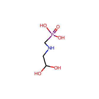 O=P(O)(O)CNCC(O)O